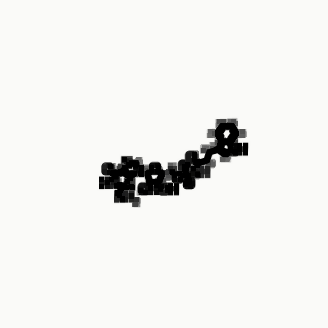 Nc1nc2c(ncn2[C@@H]2O[C@H](COS(=O)(=O)NC(=O)CCc3c[nH]c4ccccc34)[C@H](O)[C@@H]2O)c(=O)[nH]1